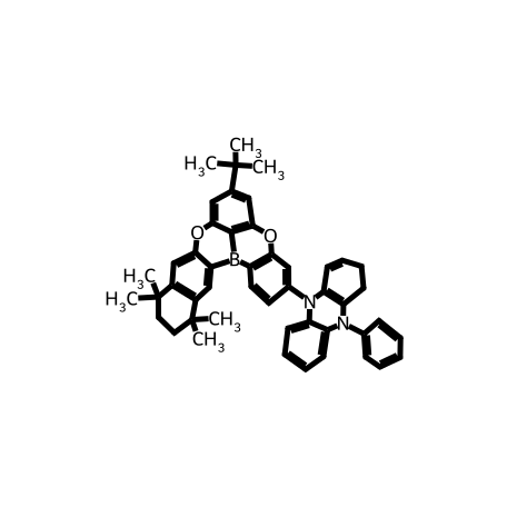 CC(C)(C)c1cc2c3c(c1)Oc1cc4c(cc1B3c1ccc(N3C5=C(CCC=C5)N(c5ccccc5)c5ccccc53)cc1O2)C(C)(C)CCC4(C)C